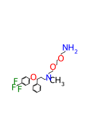 CN(CCOCCOCCN)CCC(Oc1ccc(C(F)(F)F)cc1)c1ccccc1